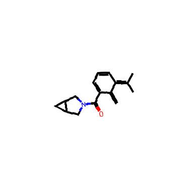 C=c1c(C(=O)N2CC3CC3C2)cccc1=C(C)C